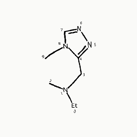 CCN(C)Cc1nncn1C